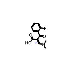 CN(C)/C=C(/C(=O)O)C(=O)c1ccccc1F